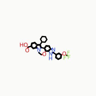 O=C(O)c1ccc2c(C3CCCCC3)c3n(c2c1)CCOc1c-3ccc2nc(-c3cccc(OC(F)(F)F)c3)[nH]c12